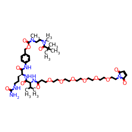 CC(C)[C@H](NC(=O)CCOCCOCCOCCOCCOCCOCCN1C(=O)C=CC1=O)C(=O)N[C@@H](CCCNC(N)=O)C(=O)Nc1ccc(COC(=O)N(C)CCN(C)C(=O)C(C)(C)C)cc1